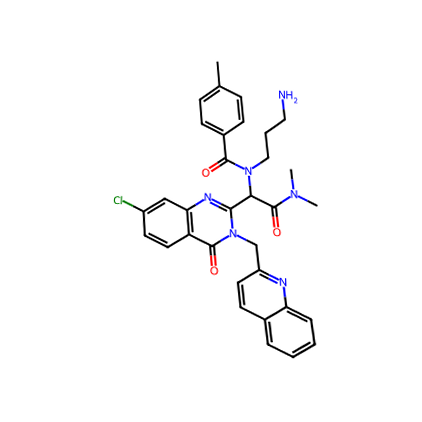 Cc1ccc(C(=O)N(CCCN)C(C(=O)N(C)C)c2nc3cc(Cl)ccc3c(=O)n2Cc2ccc3ccccc3n2)cc1